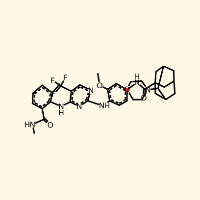 CNC(=O)c1cccc(C)c1Nc1nc(Nc2ccc(NC(=O)C34CC5CC(C3)C(N3CCOCC3)C(C5)C4)cc2OC)ncc1C(F)(F)F